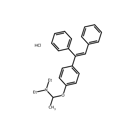 CCN(CC)C(C)Oc1ccc(C(=Cc2ccccc2)c2ccccc2)cc1.Cl